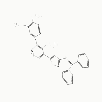 COc1ccc(-c2cncc(-c3cc(N=C(c4ccccc4)c4ccccc4)cs3)c2C(=O)O)cc1OC